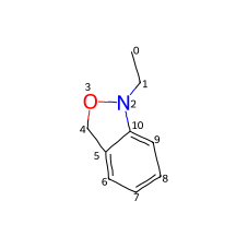 CCN1OCc2ccccc21